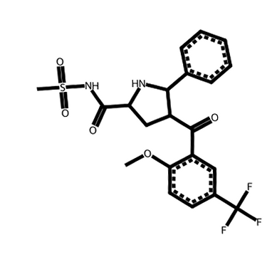 COc1ccc(C(F)(F)F)cc1C(=O)C1CC(C(=O)NS(C)(=O)=O)NC1c1ccccc1